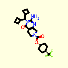 Nc1nc2c(c(=O)n1C(C1CCC1)C1CCC1)CCN(C(=O)O[C@H]1CC[C@H](C(F)(F)F)CC1)C2